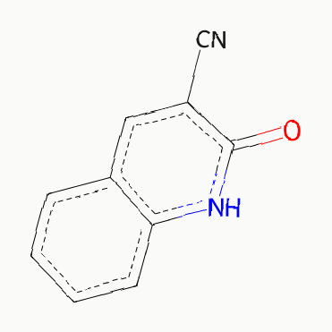 N#Cc1cc2ccccc2[nH]c1=O